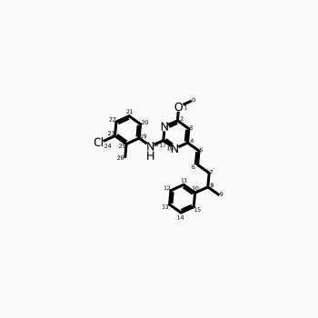 COc1cc(/C=C/CC(C)c2ccccc2)nc(Nc2cccc(Cl)c2C)n1